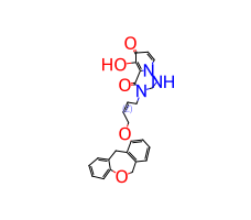 O=C1c2c(O)c(=O)ccn2NCN1C/C=C\COc1cccc2c1Cc1ccccc1OC2